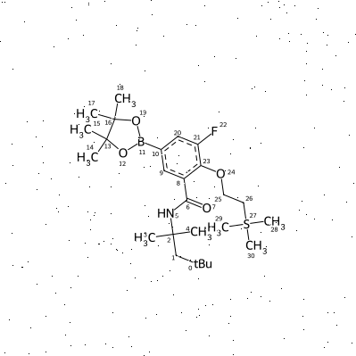 CC(C)(C)CC(C)(C)NC(=O)c1cc(B2OC(C)(C)C(C)(C)O2)cc(F)c1OCCS(C)(C)C